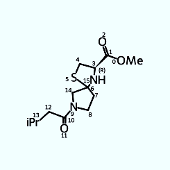 COC(=O)[C@@H]1CSC2(CCN(C(=O)CC(C)C)C2)N1